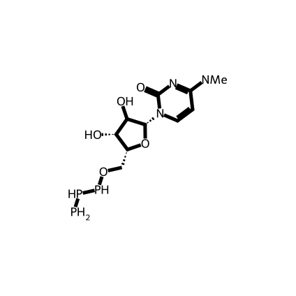 CNc1ccn([C@@H]2O[C@H](COPPP)[C@H](O)C2O)c(=O)n1